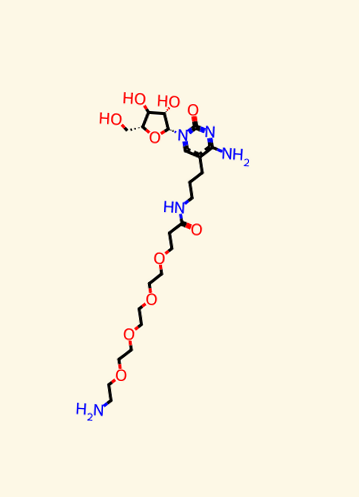 NCCOCCOCCOCCOCCC(=O)NCCCc1cn([C@@H]2O[C@H](CO)C(O)[C@@H]2O)c(=O)nc1N